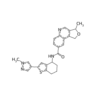 CC1OCc2c1cnc1ccc(C(=O)NC3CCCc4sc(-c5cnn(C)c5)cc43)cc21